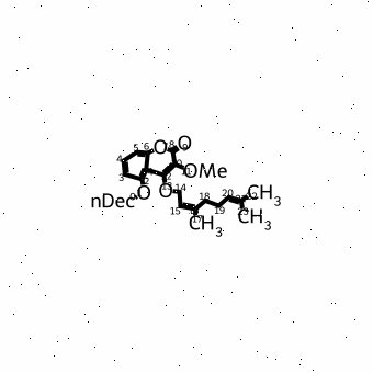 CCCCCCCCCCOc1cccc2oc(=O)c(OC)c(OCC=C(C)CCC=C(C)C)c12